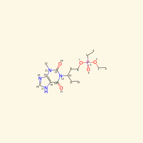 CCOP(=O)(CC)OCCC(CC)n1c(=O)c2[nH]cnc2n(C)c1=O